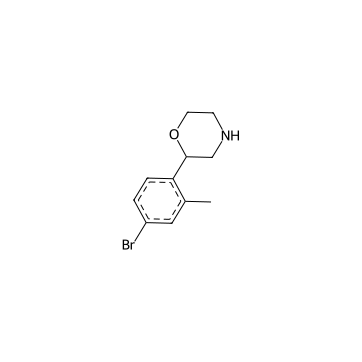 Cc1cc(Br)ccc1C1CNCCO1